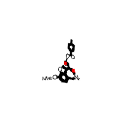 COc1ccc2c3c1OC1C[C@@H](OC(=O)c4ccc(C)cc4)CC(C)[C@@]31CCN(C)C2